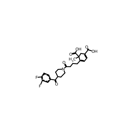 CC1(C(=O)O)CC(C(=O)O)=CC=C1CCCC(=O)N1CCC(C(=O)c2ccc(F)c(F)c2)CC1